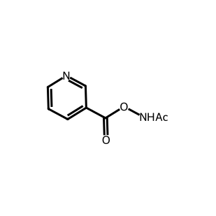 CC(=O)NOC(=O)c1cccnc1